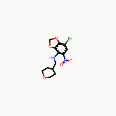 O=[N+]([O-])c1cc(Br)c2c(c1NCC1CCOCC1)OCO2